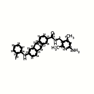 Cc1cc(N)nc(C)c1CNC(=O)c1ccc2c(c1)C1OC2c2cc(Nc3ccccc3F)ccc21